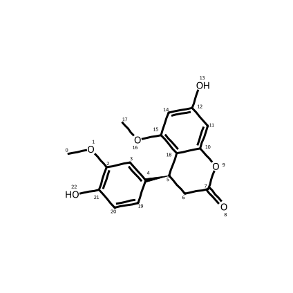 COc1cc([C@@H]2CC(=O)Oc3cc(O)cc(OC)c32)ccc1O